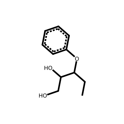 CCC(Oc1ccccc1)C(O)CO